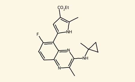 CCOC(=O)c1cc(-c2c(F)ccc3nc(C)c(NC4(C)CC4)nc23)[nH]c1C